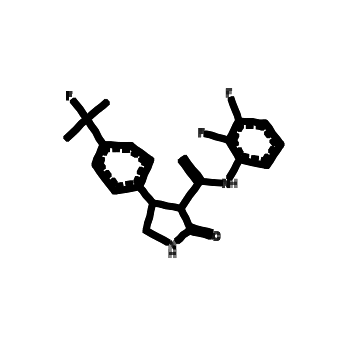 C=C(Nc1cccc(F)c1F)C1C(=O)NCC1c1ccc(C(C)(C)F)cc1